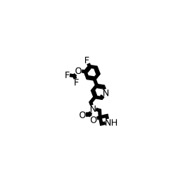 O=C1OC2(CNC2)CN1Cc1cncc(-c2ccc(F)c(OC(F)F)c2)c1